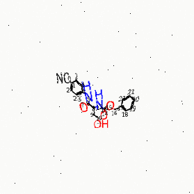 N#Cc1ccc(NC(=O)[C@H](CCO)NC(=O)OCc2ccccc2)cc1